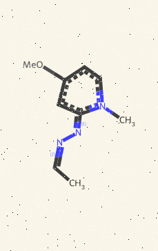 C/C=N\N=c1/cc(OC)ccn1C